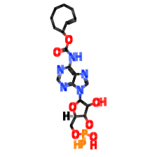 O=C(Nc1ncnc2c1ncn2[C@@H]1O[C@@H]2COP(O)(=P)OC2C1O)OC1/C=C/CCCCC1